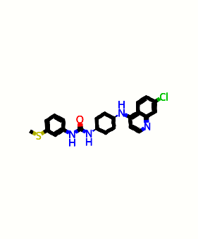 CSc1cccc(NC(=O)N[C@H]2CC[C@@H](Nc3ccnc4cc(Cl)ccc34)CC2)c1